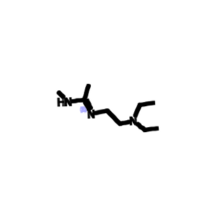 CCN(CC)CC/N=C(\C)NC